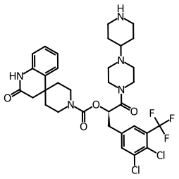 O=C1CC2(CCN(C(=O)O[C@H](Cc3cc(Cl)c(Cl)c(C(F)(F)F)c3)C(=O)N3CCN(C4CCNCC4)CC3)CC2)c2ccccc2N1